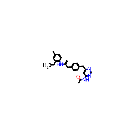 BCc1cc(C)ccc1NC(=C)Cc1ccc(Cc2cc(NC(C)=O)ncn2)cc1